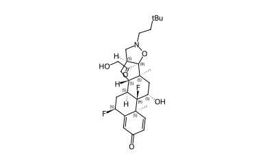 CC(C)(C)CCN1C[C@@H]2C[C@H]3[C@@H]4C[C@H](F)C5=CC(=O)C=C[C@]5(C)[C@@]4(F)[C@@H](O)C[C@]3(C)[C@]2(C(=O)CO)O1